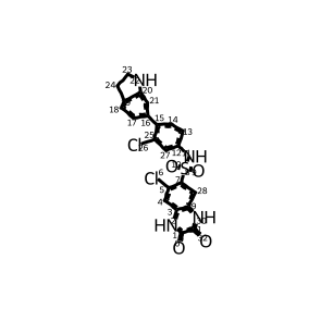 O=c1[nH]c2cc(Cl)c(S(=O)(=O)Nc3ccc(-c4ccc5c(c4)NCC5)c(Cl)c3)cc2[nH]c1=O